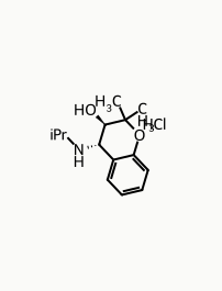 CC(C)N[C@H]1c2ccccc2OC(C)(C)[C@@H]1O.Cl